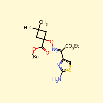 CCOC(=O)/C(=N\OC1(C(=O)OC(C)(C)C)CC(C)(C)C1)c1csc(N)n1